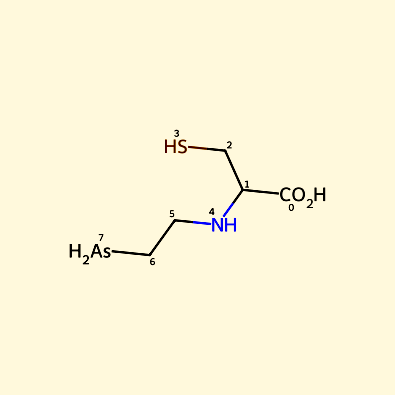 O=C(O)C(CS)NCC[AsH2]